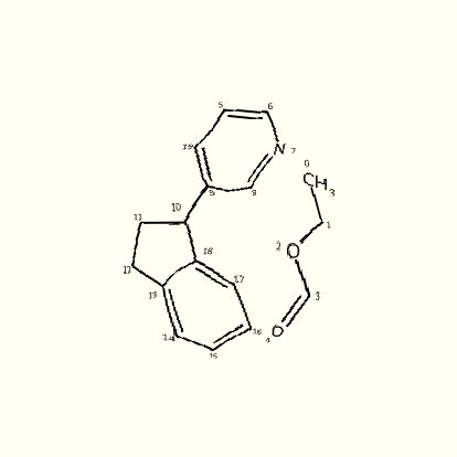 CCOC=O.c1cncc(C2CCc3ccccc32)c1